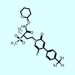 [2H]C([2H])([2H])c1ccc(-c2cc(=O)n(CC[C@](C)(C(=O)NOC3CCCCO3)S(C)(=O)=O)cc2F)cc1